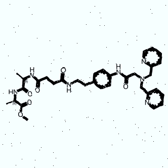 COC(=O)[C@@H](C)NC(=O)[C@@H](C)NC(=O)CCC(=O)NCCc1ccc(NC(=O)CN(Cc2ccccn2)Cc2ccccn2)cc1